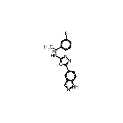 C[C@H](Nc1nnc(-c2ccc3[nH]ncc3c2)o1)c1cccc(F)c1